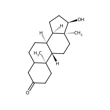 C[C@]12CC[C@H]3[C@@H](CCC4CC(=O)CC[C@@]43C)[C@H]1CC[C@H]2O